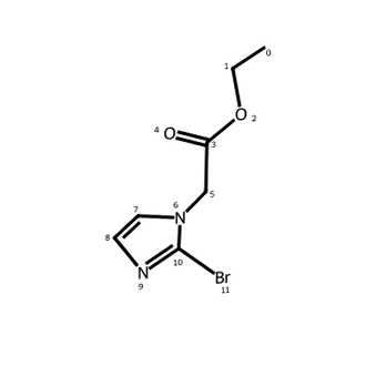 CCOC(=O)Cn1ccnc1Br